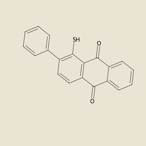 O=C1c2ccccc2C(=O)c2c1ccc(-c1ccccc1)c2S